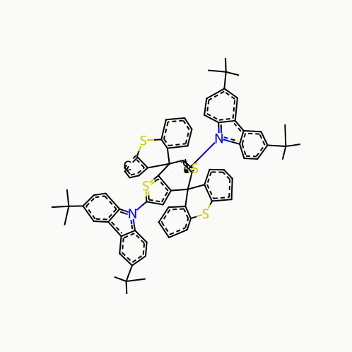 CC(C)(C)c1ccc2c(c1)c1cc(C(C)(C)C)ccc1n2-c1cc2c(s1)C1(c3ccccc3Sc3ccccc31)c1cc(-n3c4ccc(C(C)(C)C)cc4c4cc(C(C)(C)C)ccc43)sc1C21c2ccccc2Sc2ccccc21